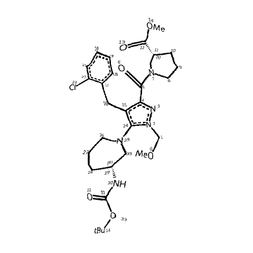 COCn1nc(C(=O)N2CCC[C@H]2C(=O)OC)c(Cc2ccccc2Cl)c1N1CCC[C@@H](NC(=O)OC(C)(C)C)C1